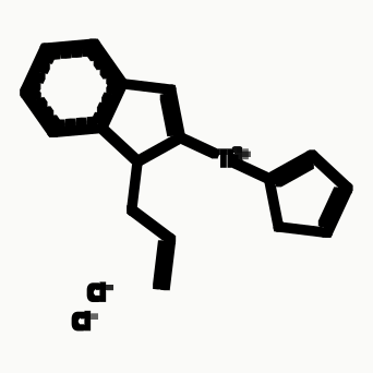 C=CCC1[C]([Ti+2][C]2=CC=CC2)=Cc2ccccc21.[Cl-].[Cl-]